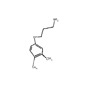 Cc1ccc(OCCCN)cc1C